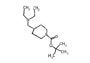 CCN(CC)CC1CCN(C(=O)OC(C)(C)C)CC1